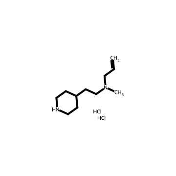 C=CCN(C)CCC1CCNCC1.Cl.Cl